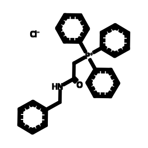 O=C(C[P+](c1ccccc1)(c1ccccc1)c1ccccc1)NCc1ccccc1.[Cl-]